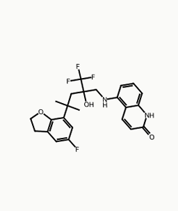 CC(C)(CC(O)(CNc1cccc2[nH]c(=O)ccc12)C(F)(F)F)c1cc(F)cc2c1OCC2